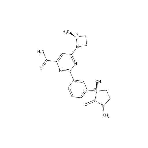 C[C@H]1CCN1c1cc(C(N)=O)nc(-c2cccc([C@]3(O)CCN(C)C3=O)c2)n1